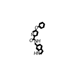 O=C(NCc1ccc2cc[nH]c2c1)c1ccc(Oc2ccccc2)cn1